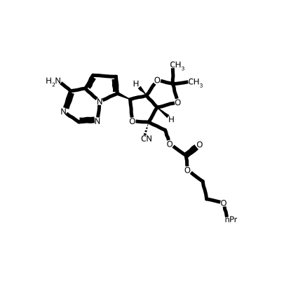 CCCOCCOC(=O)OC[C@@]1(C#N)O[C@@H](c2ccc3c(N)ncnn23)[C@@H]2OC(C)(C)O[C@@H]21